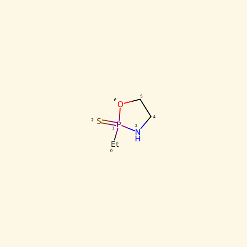 CCP1(=S)NCCO1